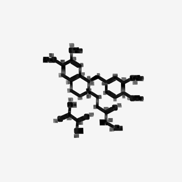 COc1ccc(C[C@@H]2c3cc(OC)c(OC)cc3CCN2CCC(=O)NC(C)(C)C)cc1OC.O=C(O)C(=O)O